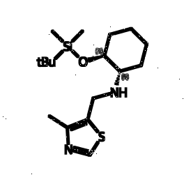 Cc1ncsc1CN[C@H]1CCCC[C@@H]1O[Si](C)(C)C(C)(C)C